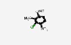 COc1ccc([N+](=O)[O-])c(Cl)c1C